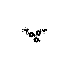 C=CC(=O)Oc1ccc(N(c2ccc(OC3COC3=O)cc2)c2cccc(C)c2)cc1